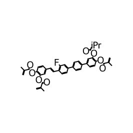 C=C(C)C(=O)Oc1ccc(/C=C/c2ccc(-c3ccc(-c4ccc(OC(=O)C(=C)C)c(OC(=O)C(C)C)c4)cc3)cc2F)cc1OC(=O)C(=C)C